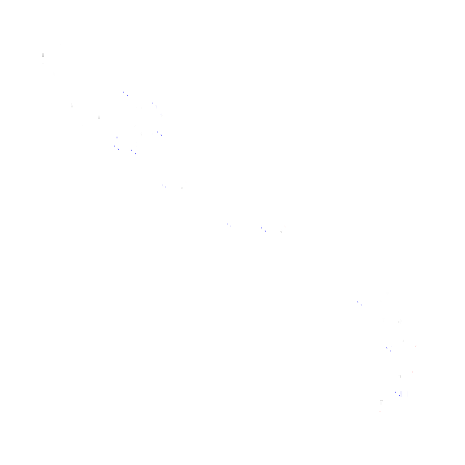 Nc1ncnc2c1c(-c1ccc(Oc3ccccc3)cc1)nn2C1CCCN(C(=O)CCCN2CCN(C(=O)CCCCCCNc3cccc4c3CN(C3CCC(=O)NC3=O)C4=O)CC2)C1